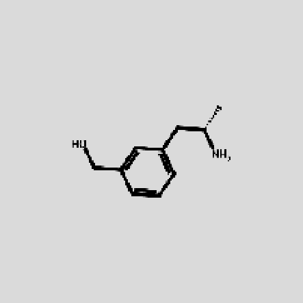 C[C@H](N)Cc1cccc(CO)c1